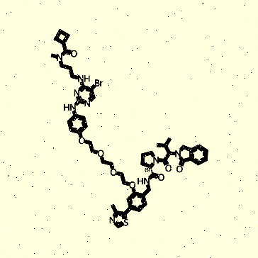 Cc1ncsc1-c1ccc(CNC(=O)[C@@H]2CCCN2C(=O)C(C(C)C)N2Cc3ccccc3C2=O)c(OCCOCCOCCOc2ccc(Nc3ncc(Br)c(NCCCN(C)C(=O)C4CCC4)n3)cc2)c1